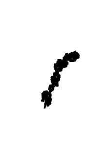 c1cnc2c(c1)cc(-c1ccc(-c3ccc4cc(-c5ccc6nc(-c7ccnc8c7ccc7cccnc78)ccc6c5)ccc4n3)cc1)c1cccnc12